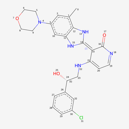 Cc1cc(N2CCOCC2)cc2c1N/C(=C1\C(=O)N=CC=C1NC[C@@H](O)c1cccc(Cl)c1)N2